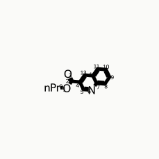 CCCOC(=O)c1cnc2ccccc2c1